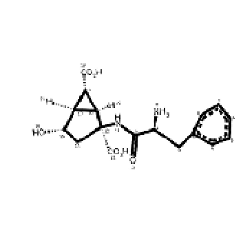 N[C@@H](Cc1ccccc1)C(=O)N[C@@]1(C(=O)O)C[C@H](O)[C@H]2[C@H](C(=O)O)[C@H]21